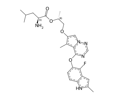 Cc1cc2c(F)c(Oc3ncnn4cc(OC[C@@H](C)OC(=O)[C@@H](N)CC(C)C)c(C)c34)ccc2[nH]1